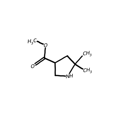 COC(=O)C1CNC(C)(C)C1